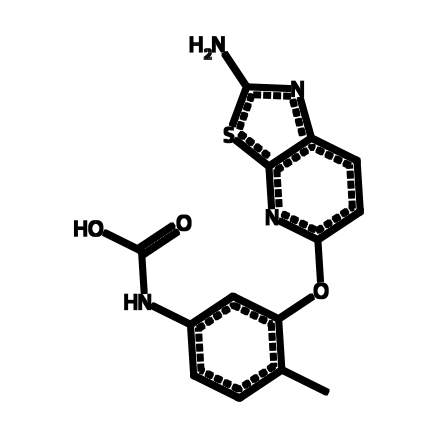 Cc1ccc(NC(=O)O)cc1Oc1ccc2nc(N)sc2n1